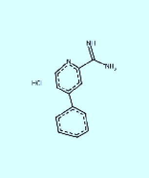 Cl.N=C(N)c1cc(-c2ccccc2)ccn1